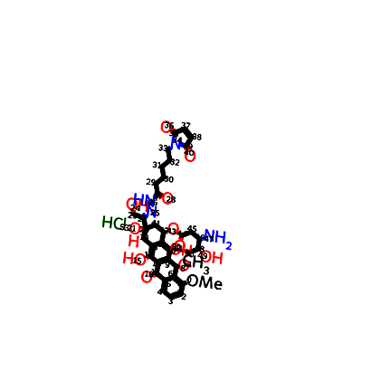 COc1cccc2c1C(=O)c1c(O)c3c(c(O)c1C2=O)C[C@@](O)(C(CO)=NNC(=O)CCCCCN1C(=O)C=CC1=O)C[C@@H]3O[C@H]1C[C@H](N)[C@H](O)[C@H](C)O1.Cl